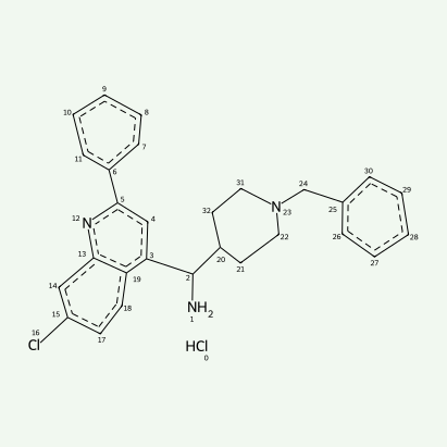 Cl.NC(c1cc(-c2ccccc2)nc2cc(Cl)ccc12)C1CCN(Cc2ccccc2)CC1